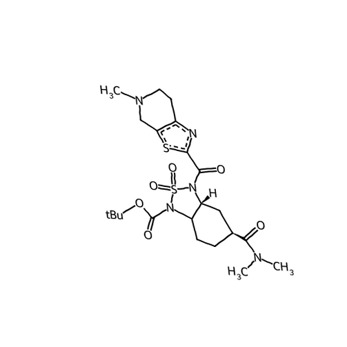 CN1CCc2nc(C(=O)N3[C@@H]4C[C@@H](C(=O)N(C)C)CCC4N(C(=O)OC(C)(C)C)S3(=O)=O)sc2C1